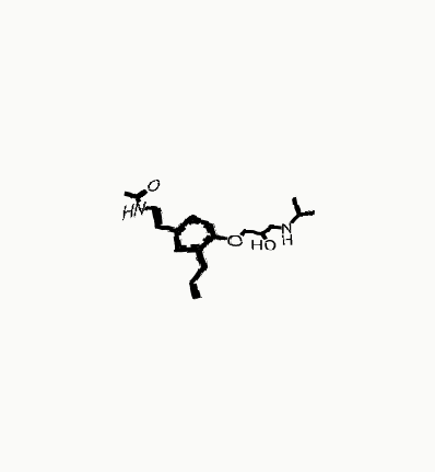 C=CCc1cc(/C=C/NC(C)=O)ccc1OCC(O)CNC(C)C